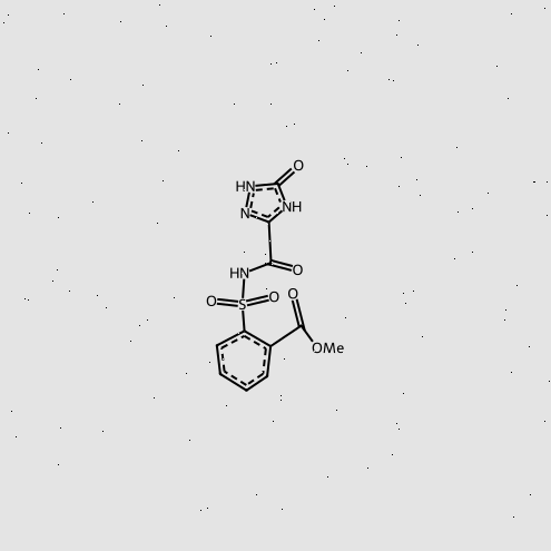 COC(=O)c1ccccc1S(=O)(=O)NC(=O)c1n[nH]c(=O)[nH]1